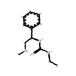 CCOC(=O)OC(COC)c1ccccc1